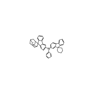 c1ccc(N(c2ccc3c(c2)-c2ccccc2C32C3CCC4CC(C3)CC2C4)c2ccc3c(c2)C2(CCCCC2)c2ccccc2-3)cc1